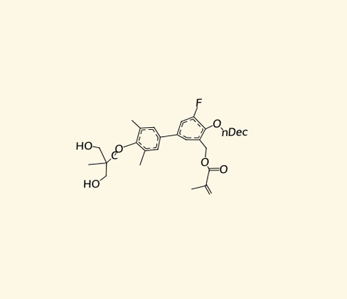 C=C(C)C(=O)OCc1cc(-c2cc(C)c(OCC(C)(CO)CO)c(C)c2)cc(F)c1OCCCCCCCCCC